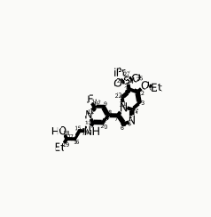 CCOc1cc2ncc(-c3cc(F)nc(NCCC(O)CC)c3)n2cc1S(=O)(=O)C(C)C